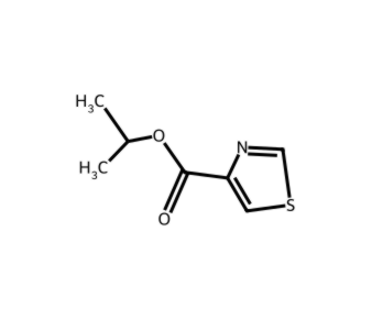 CC(C)OC(=O)c1cscn1